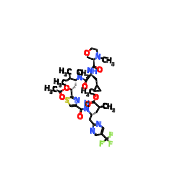 COC(=O)[C@@H](C)C[C@H](Cc1ncc(C(F)(F)F)cn1)NC(=O)c1csc([C@@H](C[C@H](C(C)C)N(C)C(=O)[C@H](CC2CC2)NC(=O)[C@H]2COCCN2C)OC(C)=O)n1